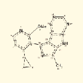 COc1ncnc(C2CC2)c1-c1nn(C)c2[nH]c3ncncc3c12